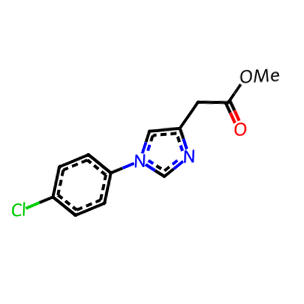 COC(=O)Cc1cn(-c2ccc(Cl)cc2)cn1